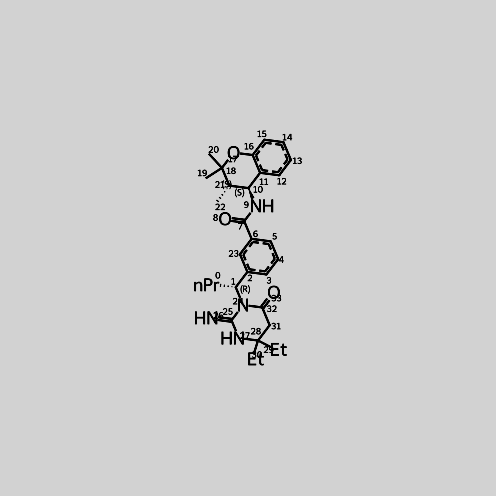 CCC[C@H](c1cccc(C(=O)N[C@@H]2c3ccccc3OC(C)(C)[C@H]2C)c1)N1C(=N)NC(CC)(CC)CC1=O